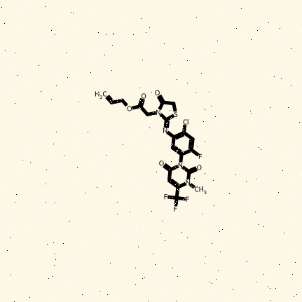 C=CCOC(=O)CN1C(=O)CSC1=Nc1cc(-n2c(=O)cc(C(F)(F)F)n(C)c2=O)c(F)cc1Cl